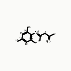 CC(=O)C/C(C)=N/c1c(C)cc(C)cc1C